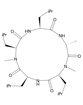 CC(C)C[C@@H]1NC(=O)[C@H](CC(C)C)N(C)C(=O)[C@H](CC(C)C)NC(=O)[C@H](CC(C)C)N(C)C(=O)[C@@H](C)NC1=O